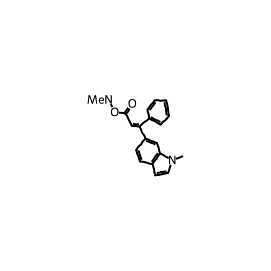 CNOC(=O)/C=C(\c1ccccc1)c1ccc2ccn(C)c2c1